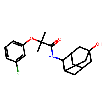 CC(C)(Oc1cccc(Cl)c1)C(=O)NC1C2CC3CC1CC(O)(C3)C2